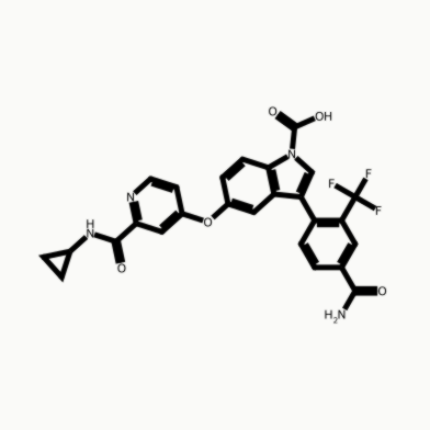 NC(=O)c1ccc(-c2cn(C(=O)O)c3ccc(Oc4ccnc(C(=O)NC5CC5)c4)cc23)c(C(F)(F)F)c1